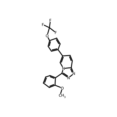 COc1ccccc1-c1nnc2ccc(-c3ccc(OC(F)(F)F)cc3)cn12